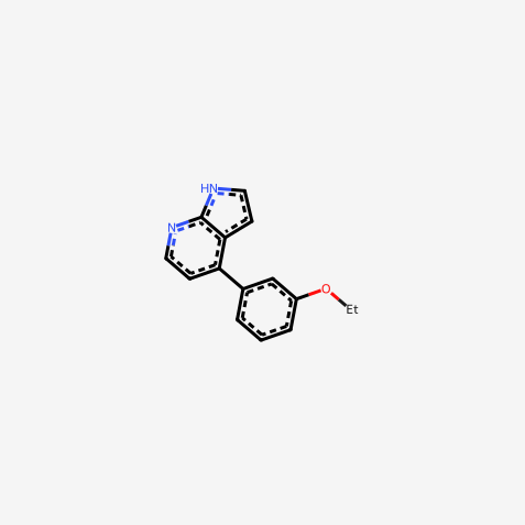 CCOc1cccc(-c2ccnc3[nH]ccc23)c1